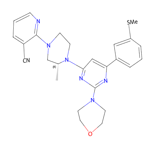 CSc1cccc(-c2cc(N3CCN(c4ncccc4C#N)C[C@H]3C)nc(N3CCOCC3)n2)c1